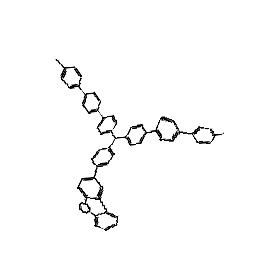 Cc1ccc(-c2ccc(-c3ccc(C(c4ccc(-c5ccc(-c6ccc(C)cc6)cc5)cc4)c4ccc(-c5ccc6oc7ccccc7c6c5)cc4)cc3)cc2)cc1